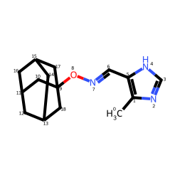 Cc1nc[nH]c1/C=N/OC12CC3CC(CC(C3)C1)C2